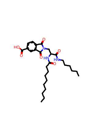 CCCCCCCCCC(=O)NC(CN1C(=O)c2ccc(C(=O)O)cc2C1=O)C(=O)NCCCCCC